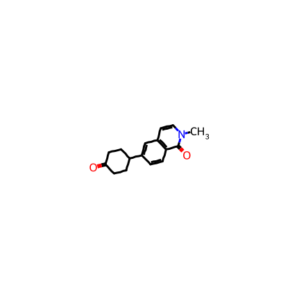 Cn1ccc2cc(C3CCC(=O)CC3)ccc2c1=O